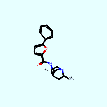 CC1CC2CCN1C[C@@H]2NC(=O)c1ccc(-c2ccccc2)o1